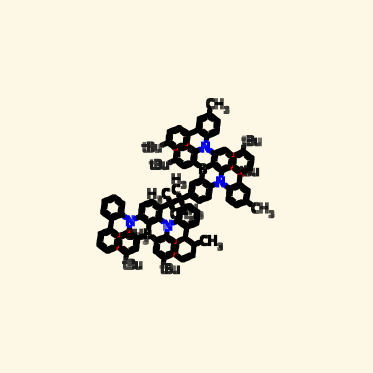 Cc1ccc(N2c3ccc(C(C)(C)C)cc3B3c4cc(C(C)(C)C(C)(C)c5ccc6c7c5N(c5ccccc5C5C=CC=CC5C)c5ccc(C(C)(C)C)cc5B7c5cc(C(C)(C)C)ccc5N6c5ccccc5-c5ccccc5C)ccc4N(c4ccc(C)cc4-c4ccc(C(C)(C)C)cc4)c4c(C(C)(C)C)ccc2c43)c(-c2ccc(C(C)(C)C)cc2)c1